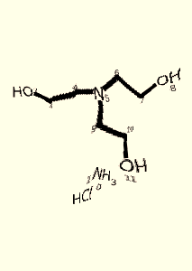 Cl.N.OCCN(CCO)CCO